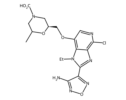 CCn1c(-c2nonc2N)nc2c(Cl)ncc(OC[C@@H]3CN(C(=O)O)CC(C)O3)c21